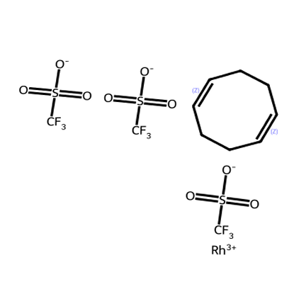 C1=C\CC/C=C\CC/1.O=S(=O)([O-])C(F)(F)F.O=S(=O)([O-])C(F)(F)F.O=S(=O)([O-])C(F)(F)F.[Rh+3]